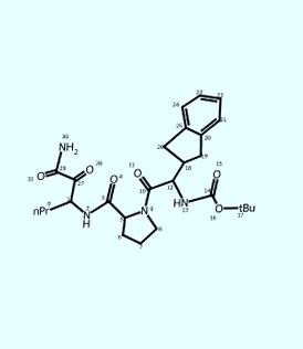 CCCC(NC(=O)C1CCCN1C(=O)C(NC(=O)OC(C)(C)C)C1Cc2ccccc2C1)C(=O)C(N)=O